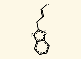 [CH2]C=CCc1nc2ccccc2s1